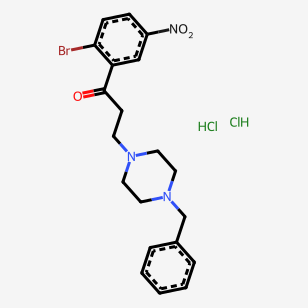 Cl.Cl.O=C(CCN1CCN(Cc2ccccc2)CC1)c1cc([N+](=O)[O-])ccc1Br